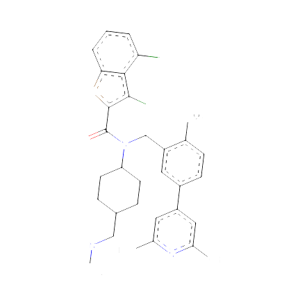 COc1ccc(-c2cc(C)nc(C)c2)cc1CN(C(=O)c1sc2cccc(F)c2c1Cl)C1CCC(CNC(=O)O)CC1